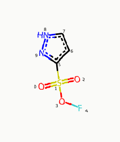 O=S(=O)(OF)c1cc[nH]n1